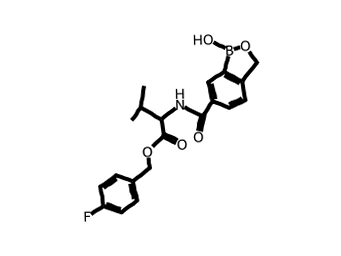 CC(C)C(NC(=O)c1ccc2c(c1)B(O)OC2)C(=O)OCc1ccc(F)cc1